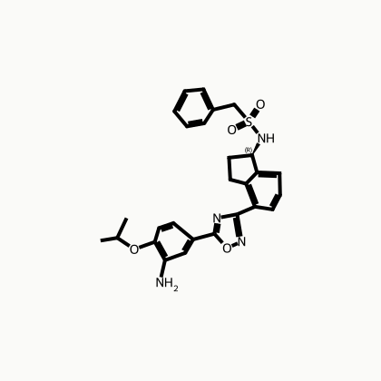 CC(C)Oc1ccc(-c2nc(-c3cccc4c3CC[C@H]4NS(=O)(=O)Cc3ccccc3)no2)cc1N